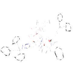 CC(C)C[C@H](NC(=O)[C@H](Cc1cn(C(c2ccccc2)(c2ccccc2)c2ccccc2)cn1)N(C)C(=O)[C@H](Cc1ccccc1)NC(=O)OCC1c2ccccc2-c2ccccc21)C(=O)O